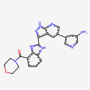 Nc1cncc(-c2cnc3[nH]nc(-c4nc5c(C(=O)N6CCOCC6)cccc5[nH]4)c3c2)c1